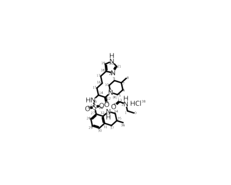 CCNC(=O)[C@H]1CC(C)CCN1C(=O)C(CCCc1c[nH]cn1)NS(=O)(=O)c1cccc2c1NCC(C)C2.Cl